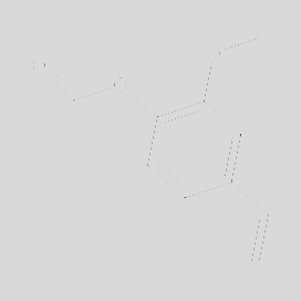 C=Cc1ccc(OC=O)c(OC)c1